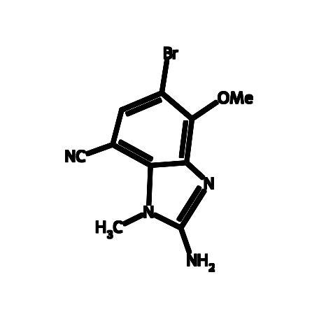 COc1c(Br)cc(C#N)c2c1nc(N)n2C